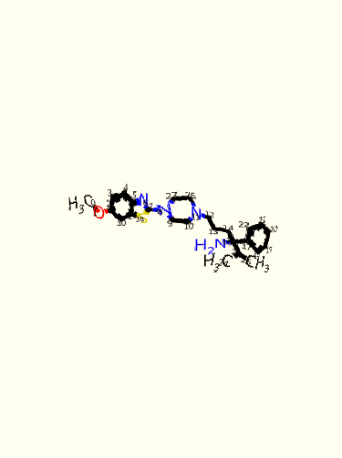 COc1ccc2nc(N3CCN(CCCC(N)(c4ccccc4)C(C)C)CC3)sc2c1